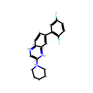 Fc1ccc(F)c(-c2ccc3ncc(N4CCCCC4)nc3c2)c1